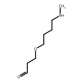 CNCCCCOCCC=O